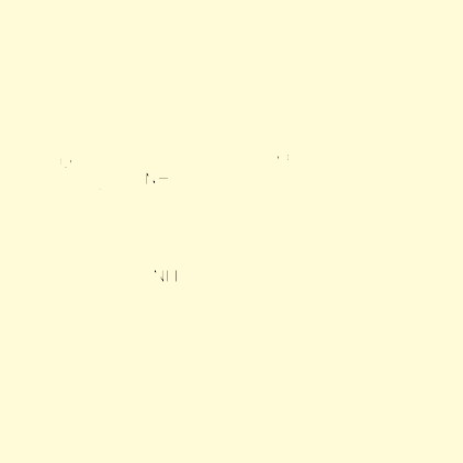 Cc1cc(OCc2ccccc2)cc2c1Nc1c(cccc1C1CCC1)C(=O)N2